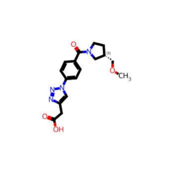 COC[C@H]1CCN(C(=O)c2ccc(-n3cc(CC(=O)O)nn3)cc2)C1